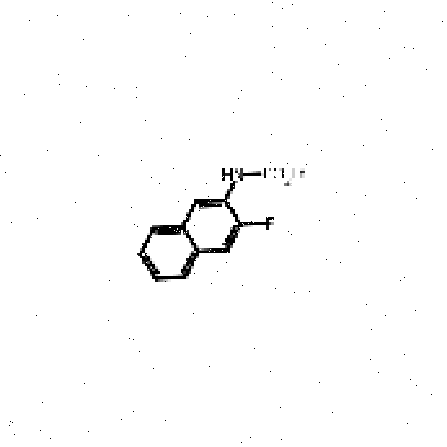 CCOC(=O)Nc1cc2ccccc2cc1F